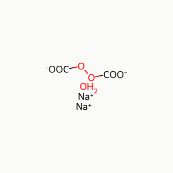 O.O=C([O-])OOC(=O)[O-].[Na+].[Na+]